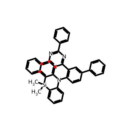 C[Si]1(C)c2ccccc2N(c2ccc(-c3ccccc3)cc2-c2nc(-c3ccccc3)nc(-c3ccccc3)n2)c2ccccc21